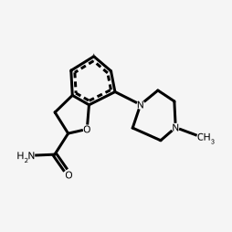 CN1CCN(c2c[c]cc3c2OC(C(N)=O)C3)CC1